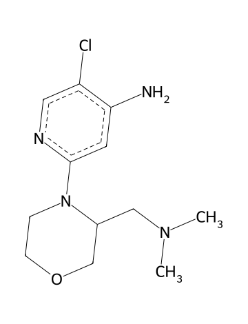 CN(C)CC1COCCN1c1cc(N)c(Cl)cn1